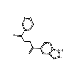 C=C(CCC(=C)c1ccc2[nH]ncc2c1)c1ccnnc1